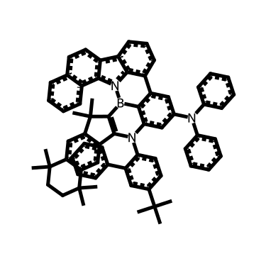 CC(C)(C)c1ccc(N2C3=C(B4c5c(cc(N(c6ccccc6)c6ccccc6)cc52)-c2cccc5c6ccc7ccccc7c6n4c25)C(C)(C)c2cc4c(cc23)C(C)(C)CCC4(C)C)c(-c2ccccc2)c1